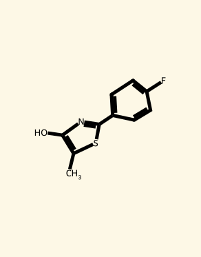 Cc1sc(-c2ccc(F)cc2)nc1O